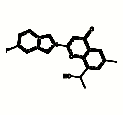 Cc1cc(C(C)O)c2oc(-n3cc4ccc(F)cc4c3)cc(=O)c2c1